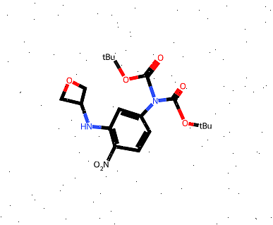 CC(C)(C)OC(=O)N(C(=O)OC(C)(C)C)c1ccc([N+](=O)[O-])c(NC2COC2)c1